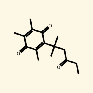 CCC(=O)CC(C)(C)C1=C(C)C(=O)C(C)=C(C)C1=O